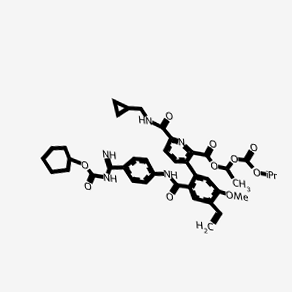 C=Cc1cc(C(=O)Nc2ccc(C(=N)NC(=O)OC3CCCCC3)cc2)c(-c2ccc(C(=O)NCC3CC3)nc2C(=O)OC(C)OC(=O)OC(C)C)cc1OC